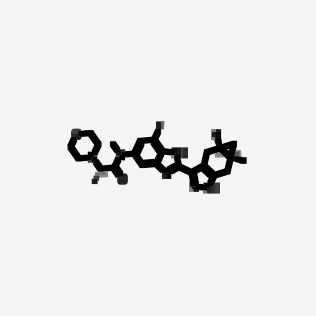 C[C@@H](C(=O)N(C)c1cc(F)c2[nH]c(-c3n[nH]c4c3C[C@@H]3C[C@]3(C)C4)nc2c1)N1CCOCC1